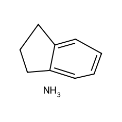 N.c1ccc2c(c1)CCC2